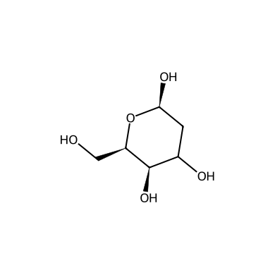 OC[C@H]1O[C@@H](O)CC(O)[C@H]1O